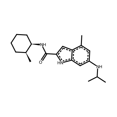 Cc1cc(NC(C)C)cc2[nH]c(C(=O)N[C@@H]3CCCC[C@@H]3C)cc12